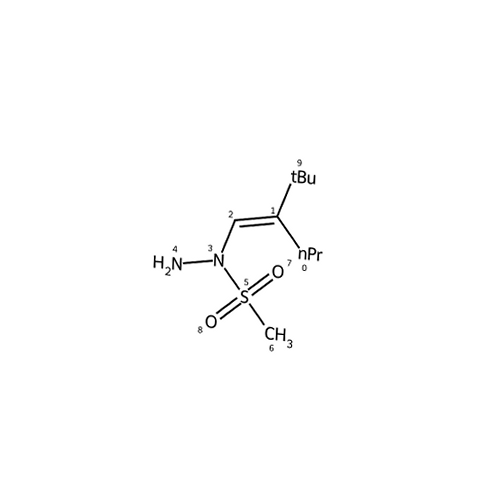 CCC/C(=C\N(N)S(C)(=O)=O)C(C)(C)C